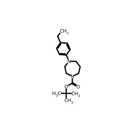 CCc1ccc(N2CCCN(C(=O)OC(C)(C)C)CC2)cc1